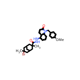 COc1ccc(Cn2c(=O)ccc3c(NNC(=O)C4(C)CC5CC(CC(C)(Br)C5)C4)cccc32)cc1